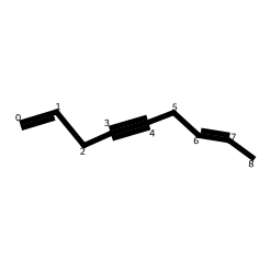 C=CCC#CCC=CC